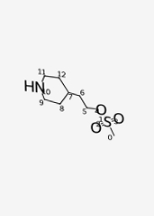 CS(=O)(=O)OCCC1CCNCC1